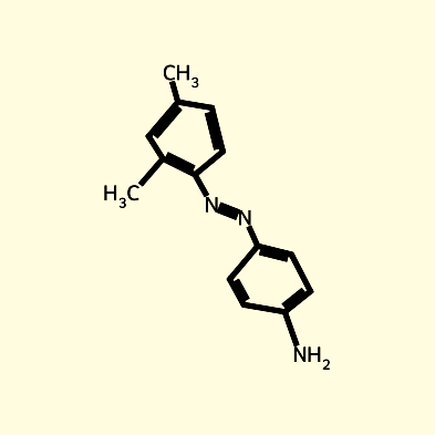 Cc1ccc(N=Nc2ccc(N)cc2)c(C)c1